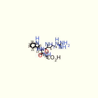 N=C(N)NCCC[C@H](N)C(=O)N[C@@H](Cc1c[nH]c2ccccc12)C(=O)NCC(=O)O